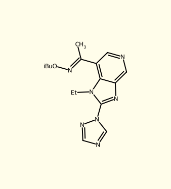 CCn1c(-n2cncn2)nc2cncc(C(C)=NOCC(C)C)c21